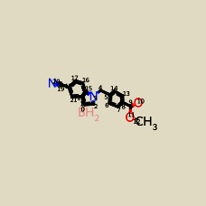 Bc1cn(Cc2ccc(C(=O)OC)cc2)c2ccc(C#N)cc12